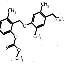 CCc1cc(C)c(OCc2c(C)cccc2OC(=S)OC)cc1C